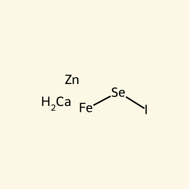 [CaH2].[Fe][Se]I.[Zn]